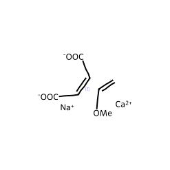 C=CO[CH2-].O=C([O-])/C=C\C(=O)[O-].[Ca+2].[Na+]